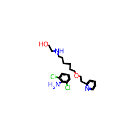 Nc1c(Cl)cccc1Cl.OCCNCCCCCCOCCc1ccccn1